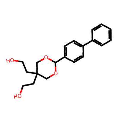 OCCC1(CCO)COC(c2ccc(-c3ccccc3)cc2)OC1